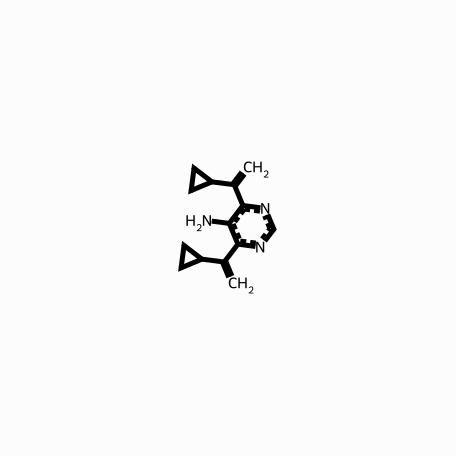 C=C(c1ncnc(C(=C)C2CC2)c1N)C1CC1